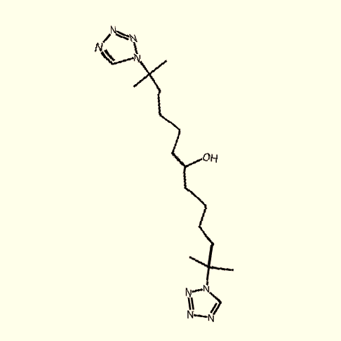 CC(C)(CCCCC(O)CCCCC(C)(C)n1cnnn1)n1cnnn1